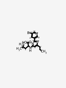 CCCc1cc(NC(CC(C)C)C(=O)O)nc(-c2cncc(Br)c2)n1